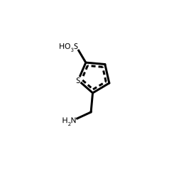 NCc1ccc(S(=O)(=O)O)s1